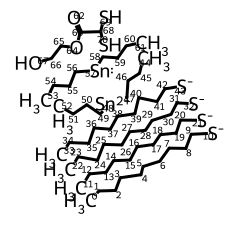 CCCCCCCCCC[S-].CCCCCCCCCC[S-].CCCCCCCCCC[S-].CCCCCCCCCC[S-].CCC[CH2][Sn+2][CH2]CCC.CCC[CH2][Sn][CH2]CCC.O=C(OCCO)C(S)S